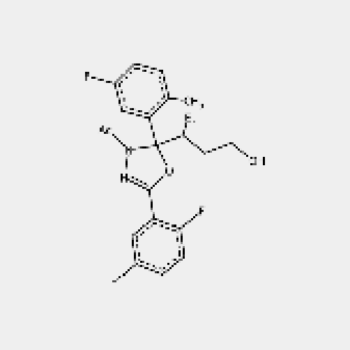 CCC(CCO)C1(c2cc(F)ccc2C)OC(c2cc(F)ccc2F)=NN1C(C)=O